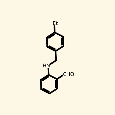 CCc1ccc(CNc2ccccc2C=O)cc1